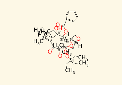 CC[Si](CC)(CC)OC1C[C@H]2OC[C@@]2(OC(C)=O)[C@H]2[C@H](OC(=O)c3ccccc3)[C@]3(O)C[C@H](C)C(C)=C(C(=O)C(=O)[C@]12C)C3(C)C